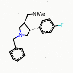 CNC[C@@H]1CN(Cc2ccccc2)C[C@H]1c1ccc(F)cc1